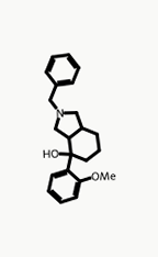 COc1ccccc1C1(O)CCCC2CN(Cc3ccccc3)CC21